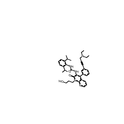 CCN(CC)CC#Cc1cccc(-c2c(NC(=O)Nc3c(C(C)C)cccc3C(C)C)c(=O)n(CCCO)c3ncccc23)c1